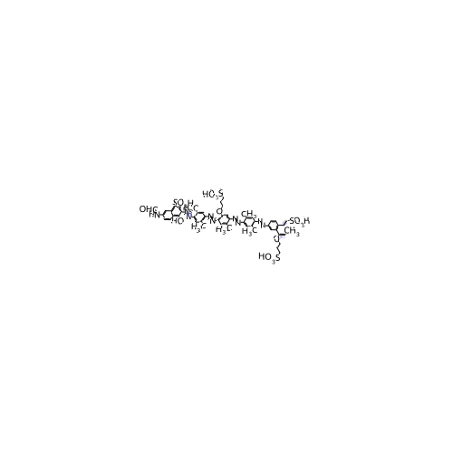 C/C=C(/OCCCS(=O)(=O)O)c1cc(N=Nc2cc(C)c(N=Nc3cc(OCCCS(=O)(=O)O)c(N=Nc4cc(C)c(/N=N/c5c(S(=O)(=O)O)cc6cc(NC=O)ccc6c5O)cc4C)cc3C)cc2C)ccc1/C=C/S(=O)(=O)O